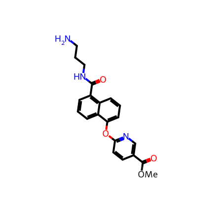 COC(=O)c1ccc(Oc2cccc3c(C(=O)NCCCN)cccc23)nc1